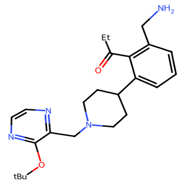 CCC(=O)c1c(CN)cccc1C1CCN(Cc2nccnc2OC(C)(C)C)CC1